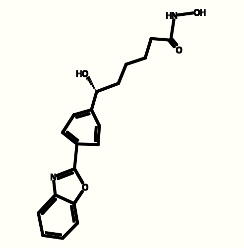 O=C(CCCC[C@@H](O)c1ccc(-c2nc3ccccc3o2)cc1)NO